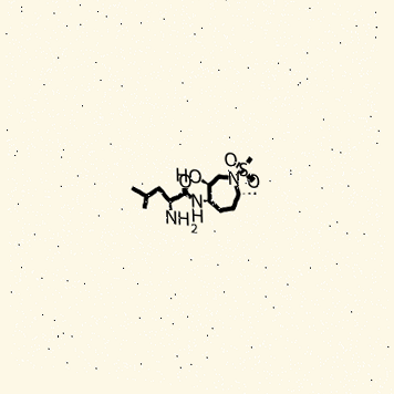 CC(C)C[C@H](N)C(=O)N[C@H]1CC[C@@H](C)N(S(C)(=O)=O)C[C@@H]1O